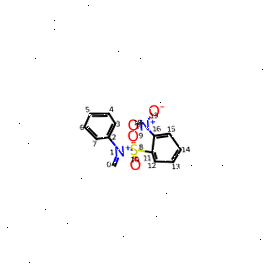 C=[N+](c1ccccc1)S(=O)(=O)c1ccccc1[N+](=O)[O-]